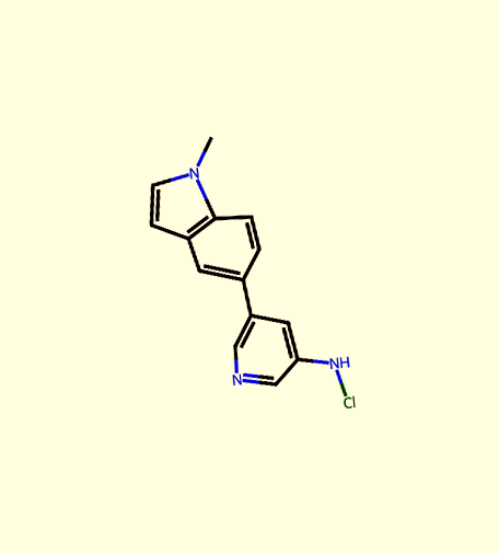 Cn1ccc2cc(-c3cncc(NCl)c3)ccc21